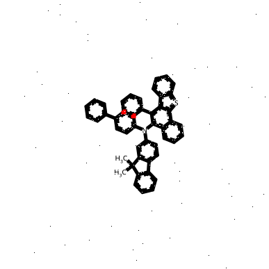 CC1(C)c2ccccc2-c2ccc(N(c3ccc(-c4ccccc4)cc3)c3c(-c4ccccc4)c4c5ccccc5sc4c4ccccc34)cc21